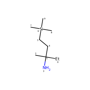 CCC(C)(N)CC[Si](C)(C)C